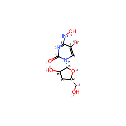 O=c1nc(NO)c(Br)cn1[C@@H]1O[C@H](CO)C[C@H]1O